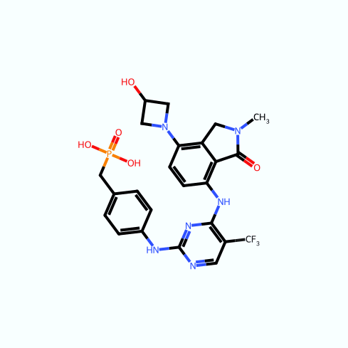 CN1Cc2c(N3CC(O)C3)ccc(Nc3nc(Nc4ccc(CP(=O)(O)O)cc4)ncc3C(F)(F)F)c2C1=O